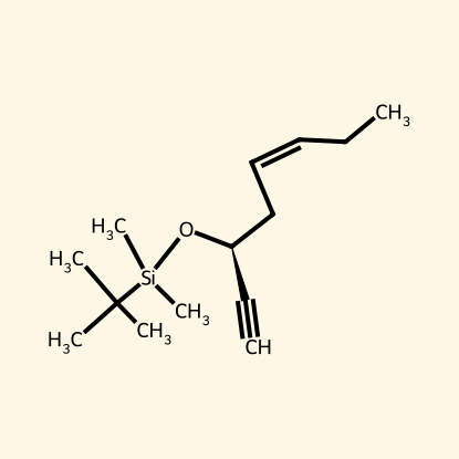 C#C[C@H](C/C=C\CC)O[Si](C)(C)C(C)(C)C